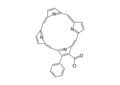 O=C(Cl)C1=C(c2ccccc2)C2=NC1=CC1=NC(=CC3=NC(=CC4=NC(=C2)C=C4)C=C3)C=C1